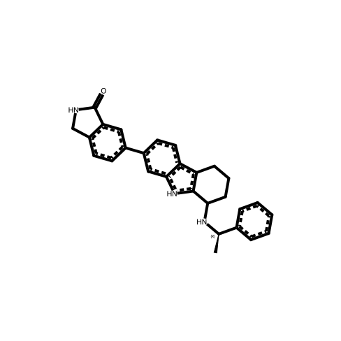 C[C@@H](NC1CCCc2c1[nH]c1cc(-c3ccc4c(c3)C(=O)NC4)ccc21)c1ccccc1